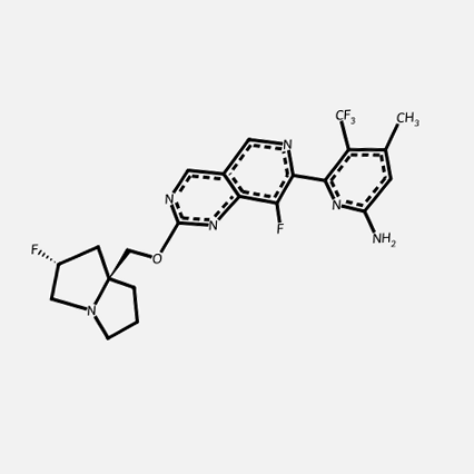 Cc1cc(N)nc(-c2ncc3cnc(OC[C@@]45CCCN4C[C@H](F)C5)nc3c2F)c1C(F)(F)F